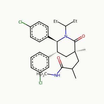 CCC(CC)N1C(=O)[C@@](C)(CC(C)C(=O)NC(=O)O)C[C@H](c2cccc(Cl)c2)[C@H]1c1ccc(Cl)cc1